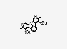 Cc1ncc2c(c1C(C)(C)C)c1cccc3c4c(C(C)(C)C)c(C)ncc4n2c13